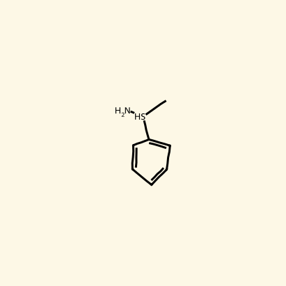 C[SH](N)c1ccccc1